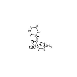 C/C=C\C(C)(C(=O)OC1CCCCC1)C(C)(C)C